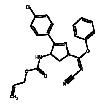 C=CCOC(=O)NC1CN(C(=NC#N)Oc2ccccc2)N=C1c1ccc(Cl)cc1